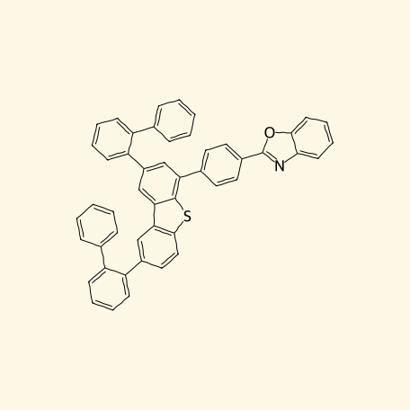 c1ccc(-c2ccccc2-c2ccc3sc4c(-c5ccc(-c6nc7ccccc7o6)cc5)cc(-c5ccccc5-c5ccccc5)cc4c3c2)cc1